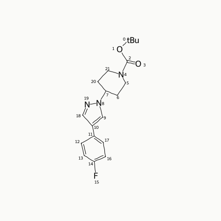 CC(C)(C)OC(=O)N1CCC(n2cc(-c3ccc(F)cc3)cn2)CC1